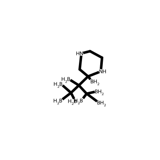 BC(B)(B)C(B)(C(B)(B)B)C1(B)CNCCN1